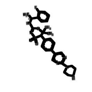 C[C@H](NC1=NS(=O)(=O)C(c2ccc(-c3cnc(N4CCNCC4)nc3)cc2)C(C)(C)O1)c1ccccc1F